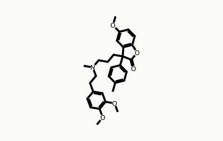 COc1ccc2c(c1)C(CCCN(C)CCc1ccc(OC)c(OC)c1)(c1ccc(C)cc1)C(=O)O2